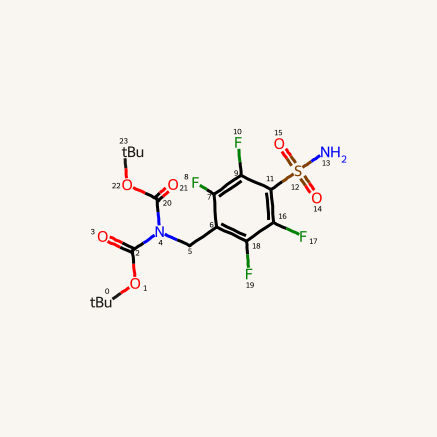 CC(C)(C)OC(=O)N(Cc1c(F)c(F)c(S(N)(=O)=O)c(F)c1F)C(=O)OC(C)(C)C